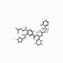 Cc1ccccc1S(=O)(=O)NC(=O)CC(NC(=O)c1ccc(N(C)CCC(C)C)c(NCC2CCCC2)c1)C1CCCCC1